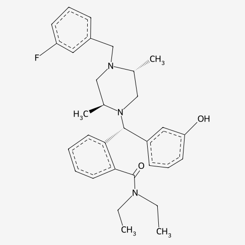 CCN(CC)C(=O)c1ccccc1[C@@H](c1cccc(O)c1)N1C[C@@H](C)N(Cc2cccc(F)c2)C[C@@H]1C